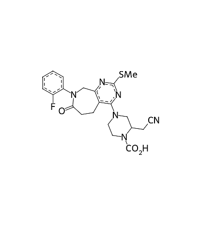 CSc1nc2c(c(N3CCN(C(=O)O)C(CC#N)C3)n1)CCC(=O)N(c1ccccc1F)C2